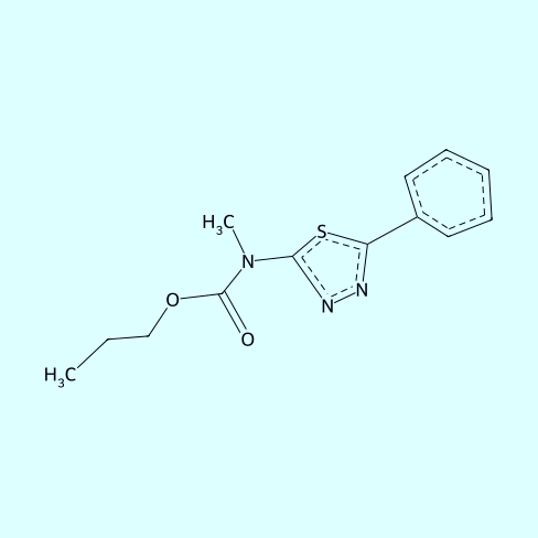 CCCOC(=O)N(C)c1nnc(-c2ccccc2)s1